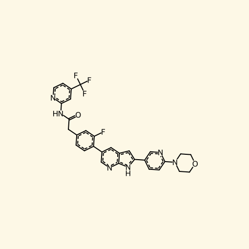 O=C(Cc1ccc(-c2cnc3[nH]c(-c4ccc(N5CCOCC5)nc4)cc3c2)c(F)c1)Nc1cc(C(F)(F)F)ccn1